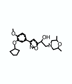 COc1ccc(-c2cc(C(O)CN3CC(C)OC(C)C3)on2)cc1OC1CCCC1